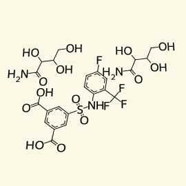 NC(=O)C(O)C(O)CO.NC(=O)C(O)C(O)CO.O=C(O)c1cc(C(=O)O)cc(S(=O)(=O)Nc2ccc(F)cc2C(F)(F)F)c1